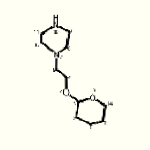 C1CCC(OCCN2CCNCC2)OC1